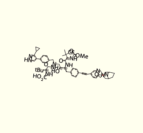 COC(=O)N[C@H](C(=O)N[C@@H](Cc1ccc(C#Cc2ccc(N3CC4CCC(C3)N4C3COC3)nc2)cc1)[C@@H](O)CN(Cc1ccc(-c2c[nH]nc2C2CC2)cc1)NC(=O)[C@@H](NC(=O)O)C(C)(C)C)C(C)(C)C(F)(F)F